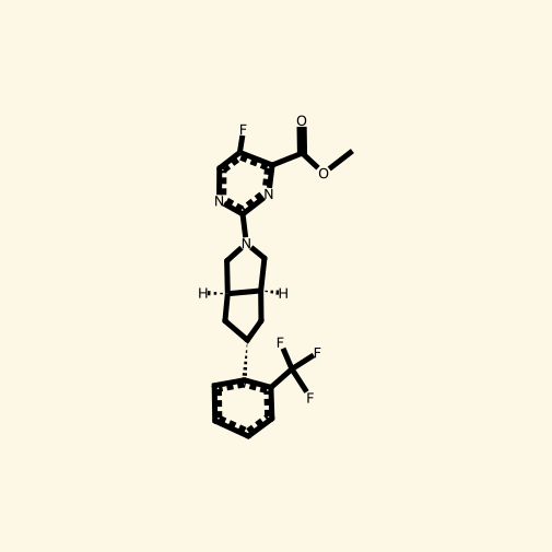 COC(=O)c1nc(N2C[C@H]3C[C@H](c4ccccc4C(F)(F)F)C[C@H]3C2)ncc1F